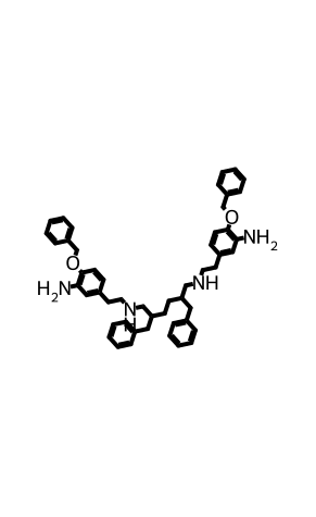 Nc1cc(CCNCC(CCC(CNCCc2ccc(OCc3ccccc3)c(N)c2)Cc2ccccc2)Cc2ccccc2)ccc1OCc1ccccc1